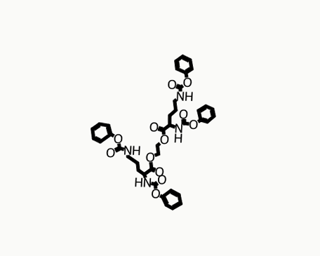 O=C(NCCCC(NC(=O)Oc1ccccc1)C(=O)OCCOC(=O)C(CCCNC(=O)Oc1ccccc1)NC(=O)Oc1ccccc1)Oc1ccccc1